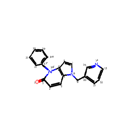 O=c1ccc2c(ccn2Cc2cccnc2)n1-c1ccccc1